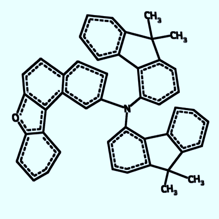 CC1(C)c2ccccc2-c2c(N(c3ccc4ccc5oc6ccccc6c5c4c3)c3cccc4c3-c3ccccc3C4(C)C)cccc21